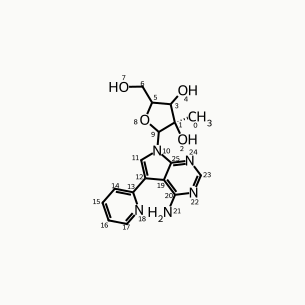 C[C@@]1(O)C(O)C(CO)OC1n1cc(-c2ccccn2)c2c(N)ncnc21